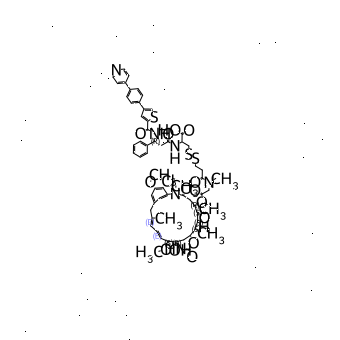 COc1cc2cc(c1Cl)N(C)C(=O)C[C@@H](OC(=O)CN(C)C(=O)CCSSCC(NC(=O)C[C@@H](NC(=O)c1cc(-c3ccc(-c4ccncc4)cc3)cs1)c1ccccc1)C(=O)O)[C@]1(C)O[C@H]1[C@@H](C)C1C[C@](O)(NC(=O)O1)[C@@H](OC)/C=C/C=C(\C)C2